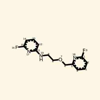 Fc1cccc(COCCNc2cccc(F)n2)n1